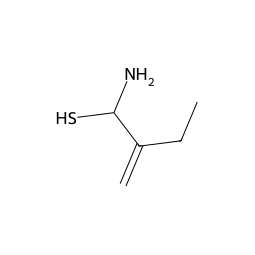 C=C(CC)C(N)S